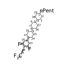 CCCCCC1CCC(C2CCC(C3CCC(c4cc(F)c(C#CC(F)(F)F)c(F)c4)CC3)CC2)CC1